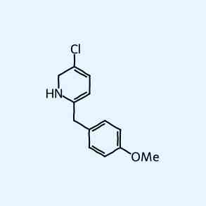 COc1ccc(CC2=CC=C(Cl)CN2)cc1